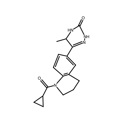 CC1NC(=O)NN=C1c1ccc2c(c1)CCCN2C(=O)C1CC1